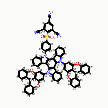 N#Cc1cc(C#N)c(S(=O)(=O)c2ccc(-n3c4ccccc4c4c3c3c5ccccc5n(-c5cc6c7c(c5)Oc5ccccc5B7c5ccccc5O6)c3c3c5ccccc5n(-c5cc6c7c(c5)Oc5ccccc5B7c5ccccc5O6)c43)cc2)c(C#N)c1